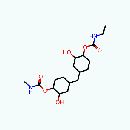 CCNC(=O)OC1CCC(CC2CCC(OC(=O)NC)C(O)C2)CC1O